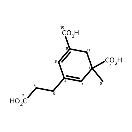 CC1(C(=O)O)C=C(CCC(=O)O)C=C(C(=O)O)C1